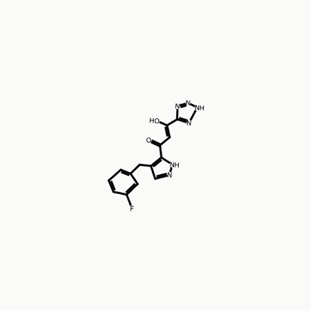 O=C(C=C(O)c1nn[nH]n1)c1[nH]ncc1Cc1cccc(F)c1